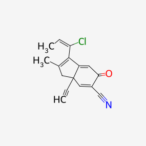 C#CC12C=C(C#N)C(=O)C=C1C(/C(Cl)=C\C)=C(C)C2